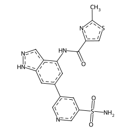 Cc1nc(C(=O)Nc2cc(-c3cncc(S(N)(=O)=O)c3)cc3[nH]ncc23)cs1